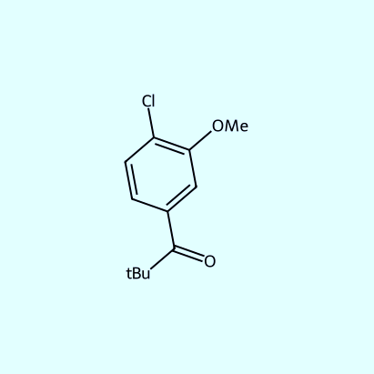 COc1cc(C(=O)C(C)(C)C)ccc1Cl